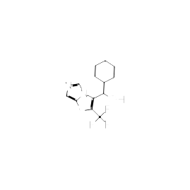 OC(c1c(C(F)(F)F)sc2cncn12)C1CCCCC1